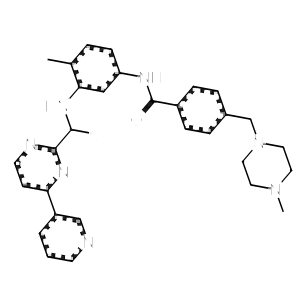 Cc1ccc(NC(=O)c2ccc(CN3CCN(C)CC3)cc2)cc1NC(Cl)c1nccc(-c2cccnc2)n1